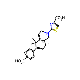 CC1(C)C(c2ccc(C(=O)O)cc2)=CC[C@]2(C)CN(c3nc(C(=O)O)cs3)CC=C12